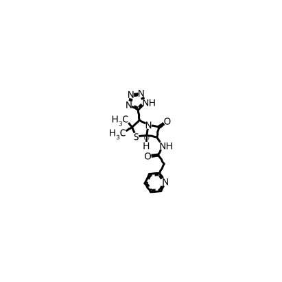 CC1(C)S[C@H]2C(NC(=O)Cc3ccccn3)C(=O)N2C1c1nnn[nH]1